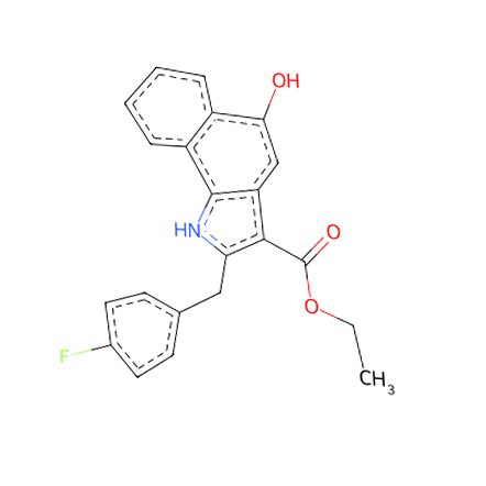 CCOC(=O)c1c(Cc2ccc(F)cc2)[nH]c2c1cc(O)c1ccccc12